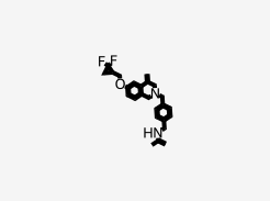 C=C(C)NCc1ccc(CN2CC(=C)c3cc(OCC4CC4(F)F)ccc3C2)cc1